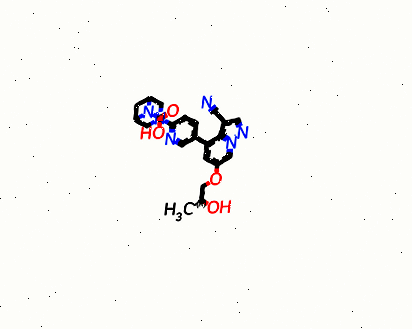 C[C@@H](O)COc1cc(-c2ccc(N3CC4CC(C3)N4C(=O)O)nc2)c2c(C#N)cnn2c1